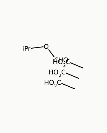 CC(=O)O.CC(=O)O.CC(=O)O.CC(C)OC=O